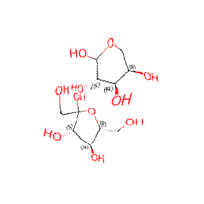 OC1OC[C@@H](O)[C@@H](O)[C@@H]1O.OC[C@H]1OC(O)(CO)[C@@H](O)[C@@H]1O